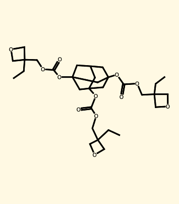 CCC1(COC(=O)OC23CC4CC(OC(=O)OCC5(CC)COC5)(C2)CC(OC(=O)OCC2(CC)COC2)(C4)C3)COC1